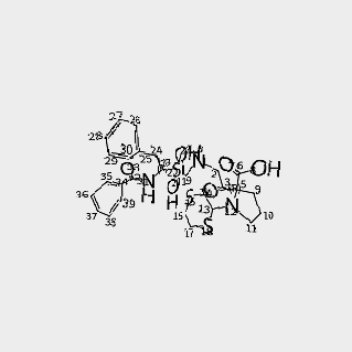 CN(CC(=O)[C@@]1(C(=O)O)CCCN1C1CSCCS1)C[Si](O)(O)[C@H](Cc1ccccc1)NC(=O)c1ccccc1